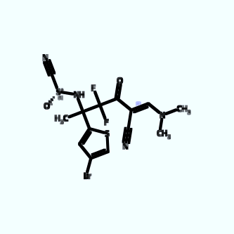 CN(C)/C=C(\C#N)C(=O)C(F)(F)C(C)(N[S@+]([O-])C#N)c1cc(Br)cs1